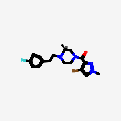 C[C@@H]1CN(C(=O)c2nn(C)cc2Br)CCN1CCc1ccc(F)cc1